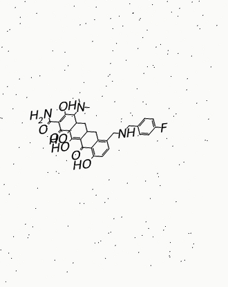 CN(C)C1C(O)=C(C(N)=O)C(=O)C2(O)C(O)=C3C(=O)c4c(O)ccc(CNCc5ccc(F)cc5)c4CC3CC12